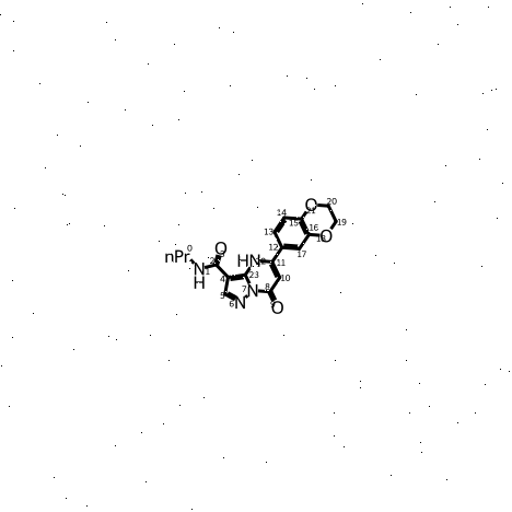 CCCNC(=O)c1cnn2c(=O)cc(-c3ccc4c(c3)OCCO4)[nH]c12